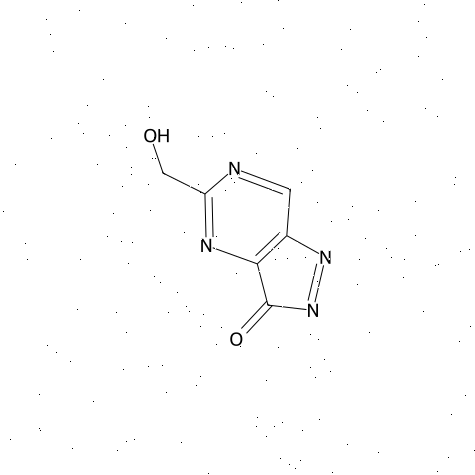 O=C1N=Nc2cnc(CO)nc21